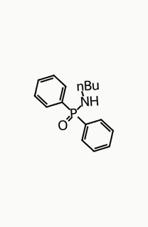 CCCCNP(=O)(c1ccccc1)c1ccccc1